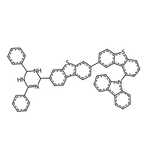 c1ccc(C2=NC(c3ccc4c(c3)sc3cc(-c5ccc6sc7cccc(-n8c9ccccc9c9ccccc98)c7c6c5)ccc34)NC(c3ccccc3)N2)cc1